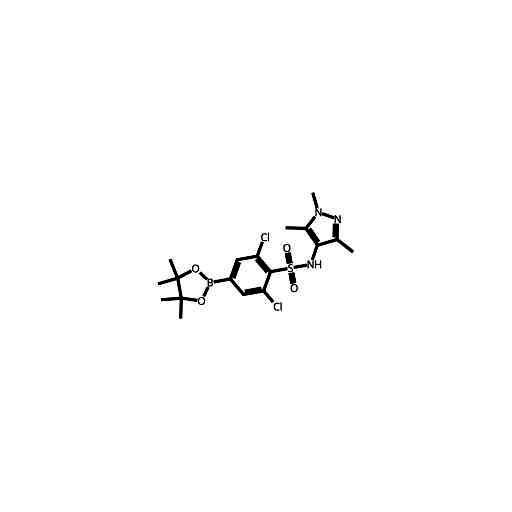 Cc1nn(C)c(C)c1NS(=O)(=O)c1c(Cl)cc(B2OC(C)(C)C(C)(C)O2)cc1Cl